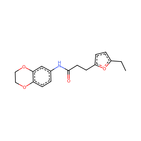 CCc1ccc(CCC(=O)Nc2ccc3c(c2)OCCO3)o1